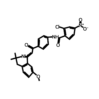 COc1ccc2c(c1)/C(=C/C(=O)c1ccc(NC(=O)c3ccc([N+](=O)[O-])cc3Cl)cc1)NC(C)(C)C2